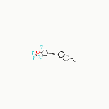 CCCC1CCc2cc(C#Cc3cc(F)c(OC(F)(F)F)c(F)c3)ccc2C1